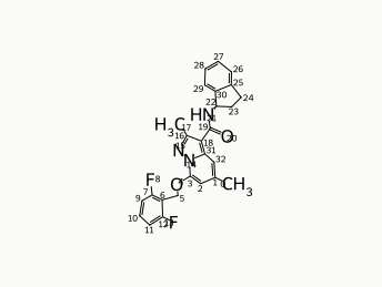 Cc1cc(OCc2c(F)cccc2F)n2nc(C)c(C(=O)N[C@@H]3CCc4ccccc43)c2c1